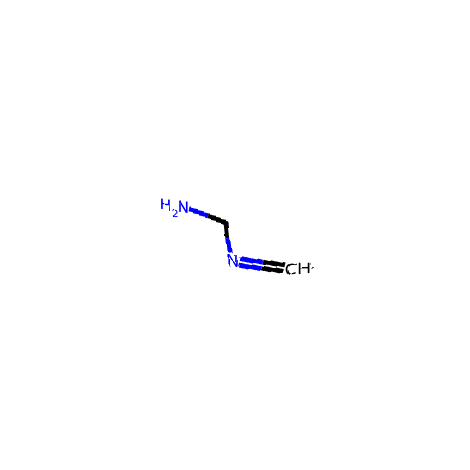 [CH]=NCN